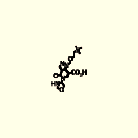 C[Si](C)(C)CCOCn1ncc2c(=O)n(C3COCN3)cc(C(=O)O)c21